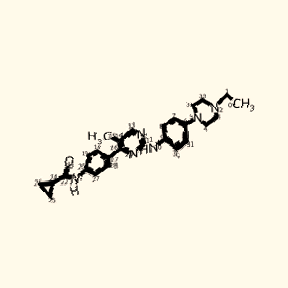 CCN1CCN(c2ccc(Nc3ncc(C)c(-c4ccc(NC(=O)C5CC5)cc4)n3)cc2)CC1